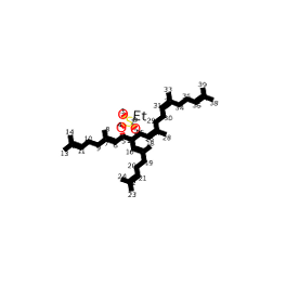 CCS(=O)(=O)OC(/C=C(\C)CCC=C(C)C)C(/C=C(\C)CCC=C(C)C)CC=C(C)CCC=C(C)CCC=C(C)C